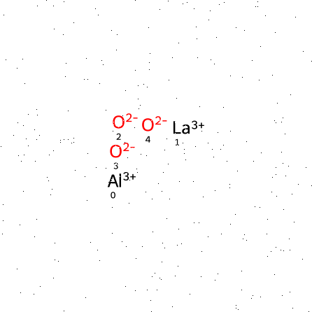 [Al+3].[La+3].[O-2].[O-2].[O-2]